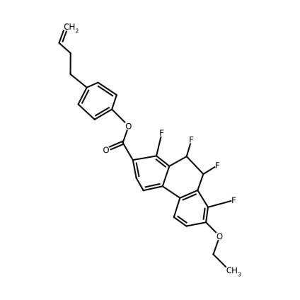 C=CCCc1ccc(OC(=O)c2ccc3c(c2F)C(F)C(F)c2c-3ccc(OCC)c2F)cc1